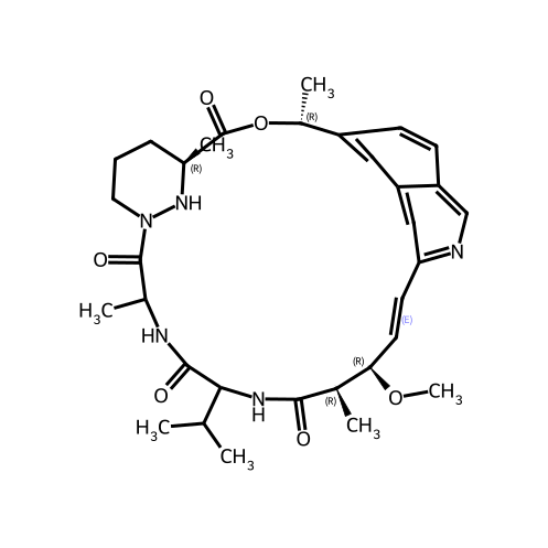 CO[C@@H]1/C=C/c2cc3cc(ccc3cn2)[C@@H](C)OC(=O)[C@@]2(C)CCCN(N2)C(=O)C(C)NC(=O)C(C(C)C)NC(=O)[C@@H]1C